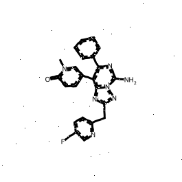 Cn1cc(-c2c(-c3ccccc3)nc(N)n3nc(Cc4ccc(F)cn4)nc23)ccc1=O